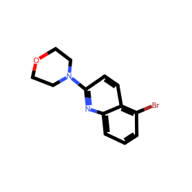 Brc1cccc2nc(N3CCOCC3)ccc12